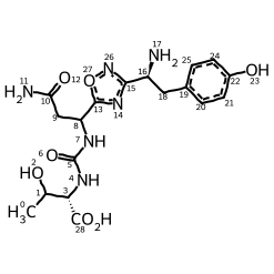 CC(O)[C@H](NC(=O)NC(CC(N)=O)c1nc([C@@H](N)Cc2ccc(O)cc2)no1)C(=O)O